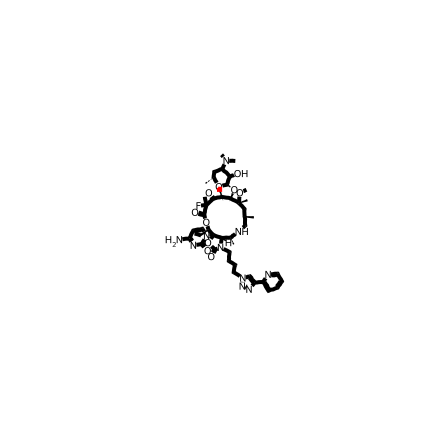 CC[C@H]1OC(=O)C(C)(F)C(=O)[C@@H](C)[C@@H](O[C@@H]2O[C@H](C)CC(N(C)C)C2O)[C@](C)(OC)C[C@@H](C)CN[C@H](C)[C@H]2N(CCCCn3cc(-c4ccccn4)nn3)C(=O)O[C@]12n1ccc(N)nc1=O